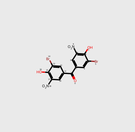 O=C(c1cc(Br)c(O)c([N+](=O)[O-])c1)c1cc(Br)c(O)c([N+](=O)[O-])c1